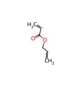 C=[C]C(=O)OCC=C